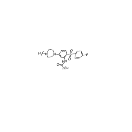 CCCCC(=O)Nc1cc(N2CCN(C)CC2)ccc1S(=O)(=O)c1ccc(F)cc1